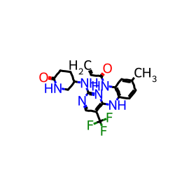 C=CC(=O)Nc1cc(C)ccc1Nc1nc(NC2CCC(=O)NC2)ncc1C(F)(F)F